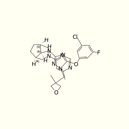 Cc1cc(N2C[C@H]3CC[C@@H](C2)[C@H]3Nc2nc(Oc3cc(F)cc(Cl)c3)n(CC3(C)COC3)n2)ncn1